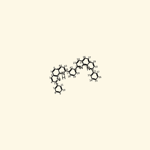 C1=Cc2ccc(-c3ccccc3)nc2C2NC(c3cccc(-c4ccc5ccc6ccc(-c7ccccc7)nc6c5n4)c3)=CC=C12